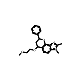 COCCOC1CC(c2ccccc2)Oc2c1ccc1c2nc(C)n1C